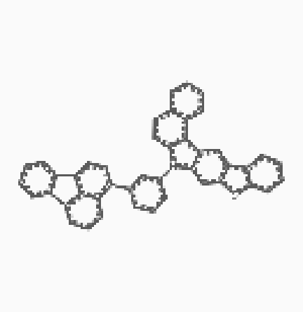 c1cc(-c2ccc3c4c(cccc24)-c2ccccc2-3)cc(-n2c3cc4sc5ccccc5c4cc3c3c4ccccc4ccc32)c1